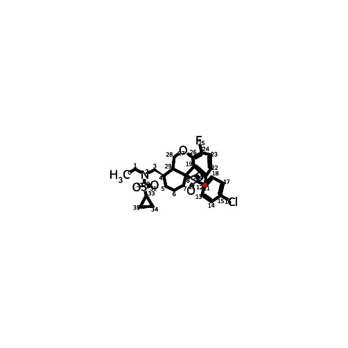 CCN(C[C@@H]1CCCC2(S(=O)(=O)c3ccc(Cl)cc3)c3c(F)ccc(F)c3OCC12)S(=O)(=O)C1CC1